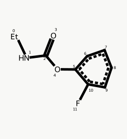 CCNC(=O)Oc1ccccc1F